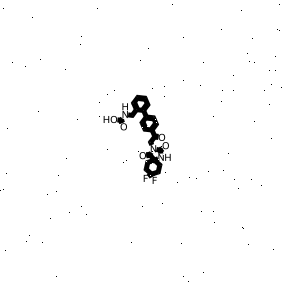 O=C(O)NCc1ccccc1-c1ccc(C(=O)CN2C(=O)NC3(CCC(F)(F)CC3)C2=O)cc1